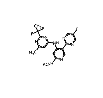 CC(=O)Nc1cc(Nc2cc(C)nc(C(C)(F)F)n2)c(-c2ncc(F)cn2)cn1